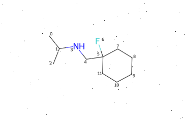 CC(C)NCC1(F)CCCCC1